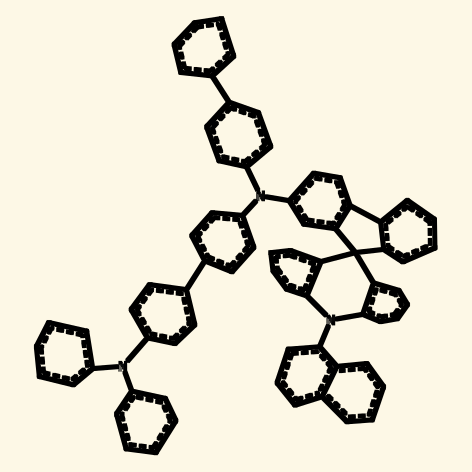 c1ccc(-c2ccc(N(c3ccc(-c4ccc(N(c5ccccc5)c5ccccc5)cc4)cc3)c3ccc4c(c3)C3(c5ccccc5-4)c4ccccc4N(c4cccc5ccccc45)c4ccccc43)cc2)cc1